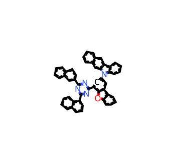 c1ccc2cc(-c3nc(-c4cccc5ccccc45)nc(-c4cc(-n5c6ccccc6c6cc7ccccc7cc65)cc5c4oc4ccccc45)n3)ccc2c1